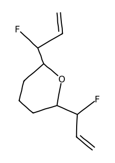 C=CC(F)C1CCCC(C(F)C=C)O1